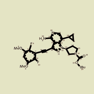 COc1cc(OC)c(F)c(C#Cc2nn([C@H]3CCN(C(=O)OC(C)(C)C)C3)c3c(C4CC4)cnc(N)c23)c1F